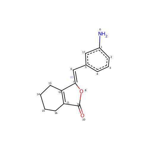 Nc1cccc(/C=C2\OC(=O)C3=C2CCCC3)c1